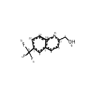 OCc1ccc2cc(C(F)(F)F)ccc2n1